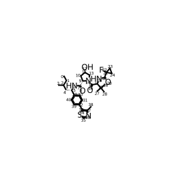 CCC(C)C[C@H](NC(=O)[C@@H]1C[C@@H](O)CN1C(=O)C(NC(=O)C1(F)CC1)C(C)(C)C)c1ccc(-c2scnc2C)cc1